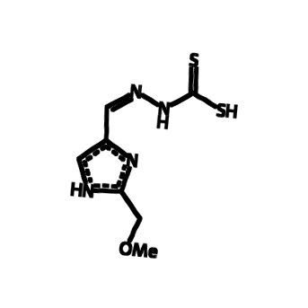 COCc1nc(/C=N\NC(=S)S)c[nH]1